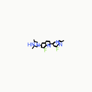 Cc1cn2cc(-c3ccc4cc(N5CC(C)NC(C)C5)cc(F)c4n3)cc(F)c2n1